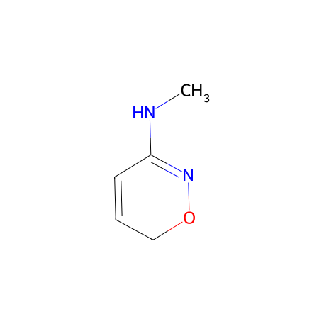 CNC1=NOCC=C1